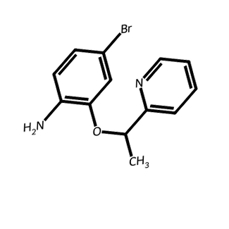 CC(Oc1cc(Br)ccc1N)c1ccccn1